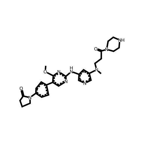 COc1nc(Nc2cncc(N(C)CCC(=O)N3CCNCC3)c2)ncc1-c1ccc(N2CCCC2=O)cc1